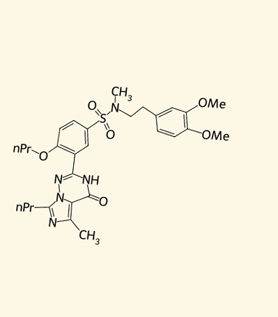 CCCOc1ccc(S(=O)(=O)N(C)CCc2ccc(OC)c(OC)c2)cc1-c1nn2c(CCC)nc(C)c2c(=O)[nH]1